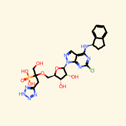 O=P(O)(O)C(CO)(Cc1nn[nH]n1)OC[C@H]1O[C@@H](n2ncc3c(N[C@@H]4CCc5ccccc54)nc(Cl)nc32)[C@H](O)[C@@H]1O